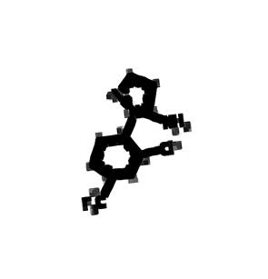 Nc1ccnn1-c1ccc(C(F)(F)F)cc1Cl